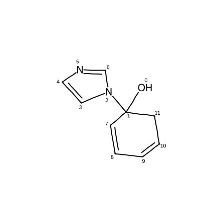 OC1(n2ccnc2)C=CC=CC1